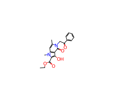 CCOC(=O)c1c(O)c2c(=O)n(CC(=O)c3ccccc3)c(C)cc2n1C